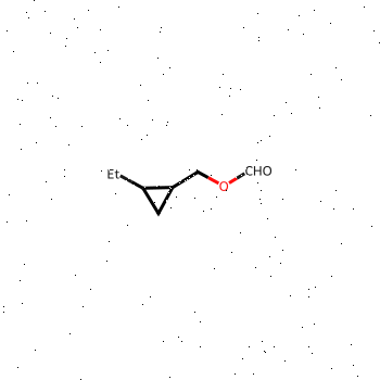 CCC1CC1COC=O